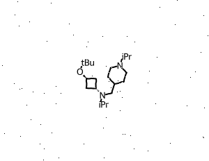 CC(C)N1CCC(CN(C(C)C)[C@H]2C[C@H](OC(C)(C)C)C2)CC1